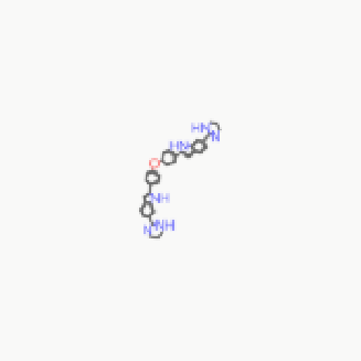 c1cc(-c2cc3ccc(C4=NCCCN4)cc3[nH]2)ccc1Oc1ccc(-c2cc3ccc(C4=NCCCN4)cc3[nH]2)cc1